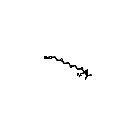 COCCOCCOCCOC(C)([SH](C)C)C(F)(F)F